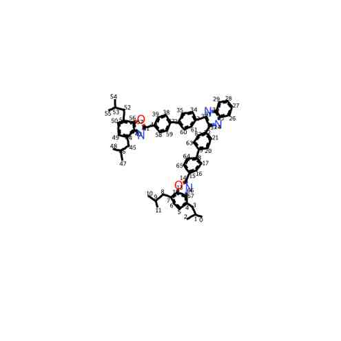 CC(C)Cc1ccc(CC(C)C)c2oc(-c3ccc(-c4ccc(-c5nc6ccccc6nc5-c5ccc(-c6ccc(-c7nc8c(CC(C)C)ccc(CC(C)C)c8o7)cc6)cc5)cc4)cc3)nc12